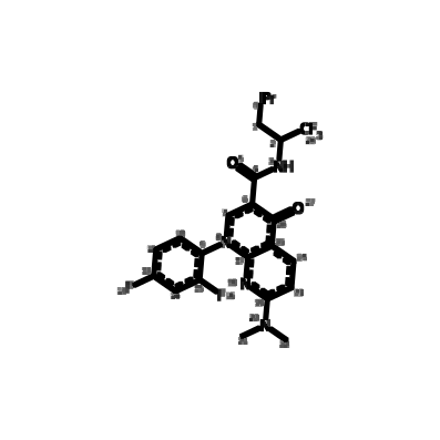 CC(C)CC(NC(=O)c1cn(-c2ccc(F)cc2F)c2nc(N(C)C)ccc2c1=O)C(F)(F)F